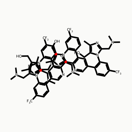 Cc1nc(CN(C)C)n(-c2cc(C(F)(F)F)ccc2-c2cnc(C(=O)c3ncc(-c4ccc(C(F)(F)F)cc4-n4c(CN(C)C)nc(C)c4CO)cc3-c3ccc(C(F)(F)F)cc3-n3c(CN(C)C)nc(C)c3CO)c(-c3ccc(C(F)(F)F)cc3-n3c(CN(C)C)nc(C)c3CO)c2)c1CO